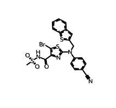 CS(=O)(=O)NC(=O)c1nc(N(Cc2cc3ccccc3s2)c2ccc(C#N)cc2)sc1Br